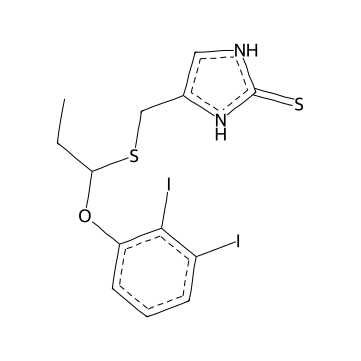 CCC(Oc1cccc(I)c1I)SCc1c[nH]c(=S)[nH]1